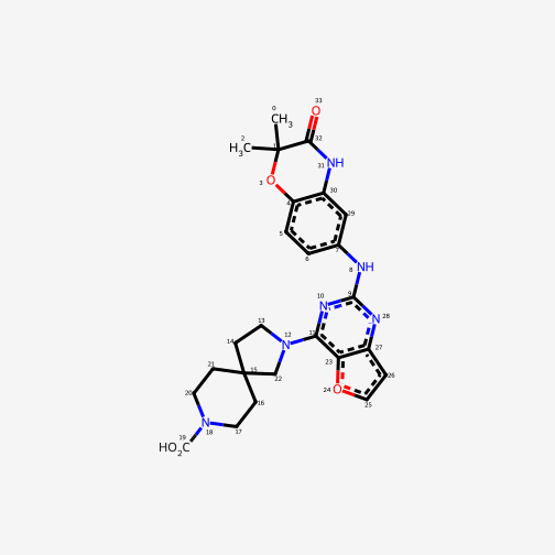 CC1(C)Oc2ccc(Nc3nc(N4CCC5(CCN(C(=O)O)CC5)C4)c4occc4n3)cc2NC1=O